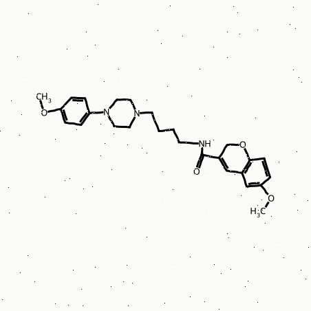 COc1ccc(N2CCN(CCCCNC(=O)C3=Cc4cc(OC)ccc4OC3)CC2)cc1